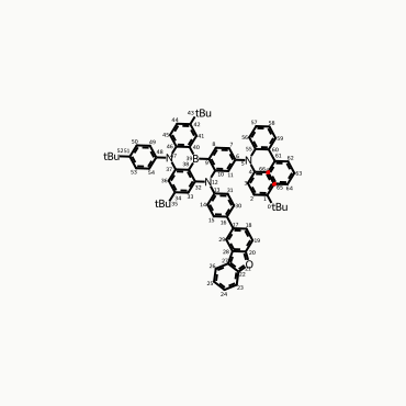 CC(C)(C)c1ccc(N(c2ccc3c(c2)N(c2ccc(-c4ccc5oc6ccccc6c5c4)cc2)c2cc(C(C)(C)C)cc4c2B3c2cc(C(C)(C)C)ccc2N4c2ccc(C(C)(C)C)cc2)c2ccccc2-c2ccccc2)cc1